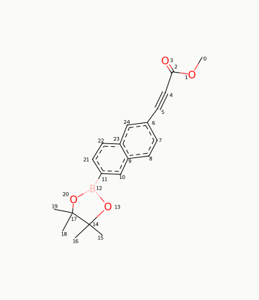 COC(=O)C#Cc1ccc2cc(B3OC(C)(C)C(C)(C)O3)ccc2c1